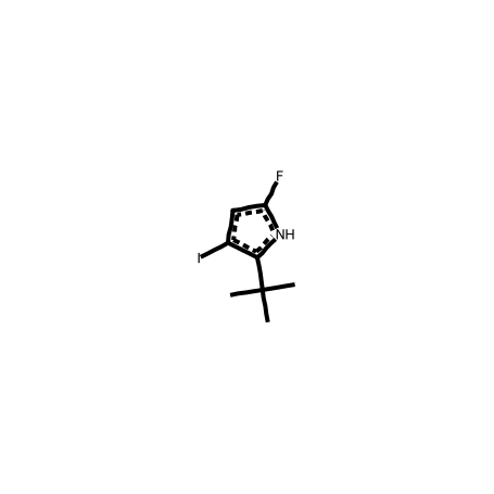 CC(C)(C)c1[nH]c(F)cc1I